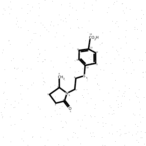 CC1CCC(=O)N1CCSc1ccc(C(=O)O)cc1